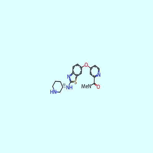 CNC(=O)c1cc(Oc2ccc3nc(N[C@H]4CCCNC4)sc3c2)ccn1